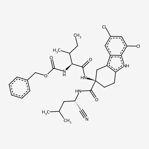 CCC(C)[C@H](NC(=O)OCc1ccccc1)C(=O)N[C@]1(C(=O)N[C@H](C#N)CC(C)C)CCc2[nH]c3c(Cl)cc(Cl)cc3c2C1